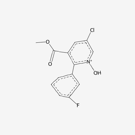 COC(=O)c1cc(Cl)c[n+](O)c1-c1cccc(F)c1